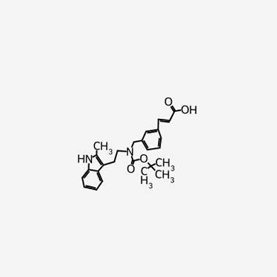 Cc1[nH]c2ccccc2c1CCN(Cc1cccc(C=CC(=O)O)c1)C(=O)OC(C)(C)C